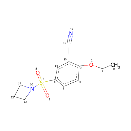 CCOc1ccc(S(=O)(=O)N2[CH]CC2)cc1C#N